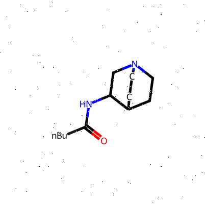 CCCCC(=O)NC1CN2CCC1CC2